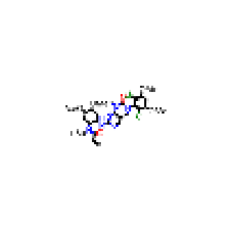 C=CC(=O)N(CCCC)C1CC(OC)C(OC)CC1Nc1ncc2c(n1)N(C)C(=O)N(c1c(Cl)c(OC)cc(OC)c1Cl)C2